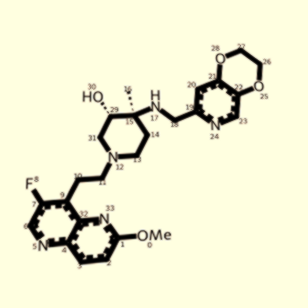 COc1ccc2ncc(F)c(CCN3CC[C@](C)(NCc4cc5c(cn4)OCCO5)[C@@H](O)C3)c2n1